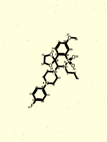 CCCN1C(N2CCN(c3ccc(F)cc3)CC2)C2(OCCO2)c2ccc(OC)cc2S1(=O)=O